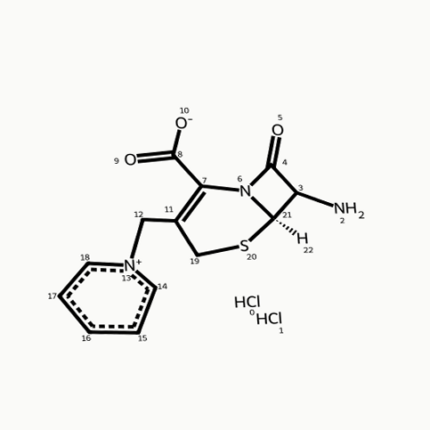 Cl.Cl.NC1C(=O)N2C(C(=O)[O-])=C(C[n+]3ccccc3)CS[C@H]12